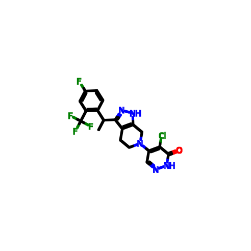 CC(c1ccc(F)cc1C(F)(F)F)c1n[nH]c2c1CCN(c1cn[nH]c(=O)c1Cl)C2